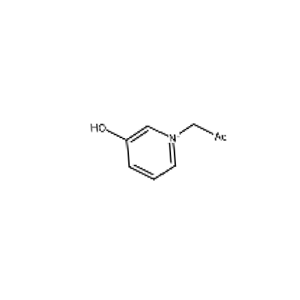 CC(=O)C[n+]1cccc(O)c1